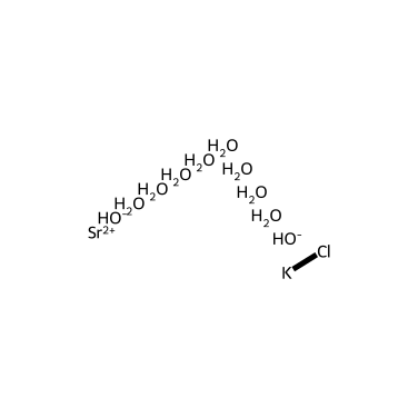 O.O.O.O.O.O.O.O.[Cl][K].[OH-].[OH-].[Sr+2]